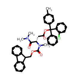 Cc1ccc(C(OC(=O)C[C@@H](C(=O)N(C)C)N(C)C(=O)OCC2c3ccccc3-c3ccccc32)(c2ccccc2)c2ccccc2Cl)cc1